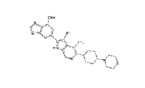 COc1cc(-c2[nH]c3cnc(C4CCC(N5CCOCC5)CC4)c(C)c3c2C(C)C)cn2ncnc12